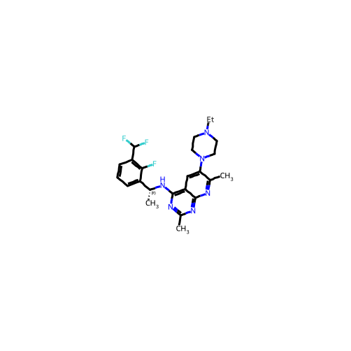 CCN1CCN(c2cc3c(N[C@H](C)c4cccc(C(F)F)c4F)nc(C)nc3nc2C)CC1